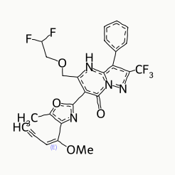 C#C/C=C(/OC)c1nc(-c2c(COCC(F)F)[nH]c3c(-c4ccccc4)c(C(F)(F)F)nn3c2=O)oc1C